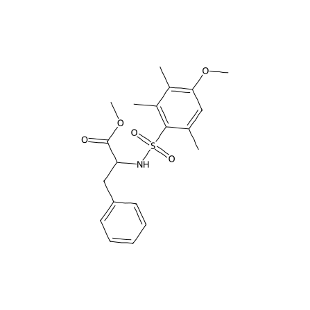 COC(=O)C(Cc1ccccc1)NS(=O)(=O)c1c(C)cc(OC)c(C)c1C